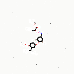 CCOC(=O)C(CC)O/N=C\c1cc(Br)c(Oc2ccc(OC)c(C(C)C)c2)c(Br)c1